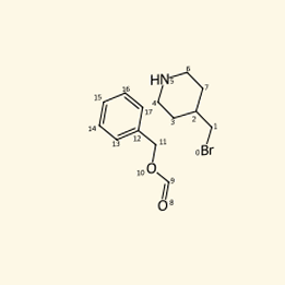 BrCC1CCNCC1.O=COCc1ccccc1